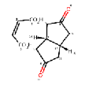 O=C(O)/C=C\C(=O)O.O=C1C[C@H]2CC(=O)C[C@H]2C1